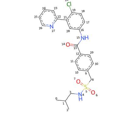 CC(C)CNS(=O)(=O)Cc1ccc(C(=O)Nc2ccc(Cl)c(-c3ccccn3)c2)cc1